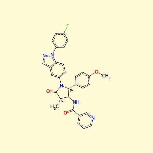 COc1ccc([C@@H]2C(NC(=O)c3cccnc3)[C@H](C)C(=O)N2c2ccc3c(cnn3-c3ccc(F)cc3)c2)cc1